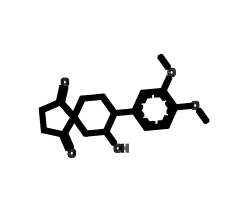 COc1ccc(C2CCC3(CC2O)C(=O)CCC3=O)cc1OC